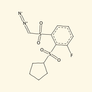 [N-]=[N+]=CS(=O)(=O)c1cccc(F)c1S(=O)(=O)C1CCCC1